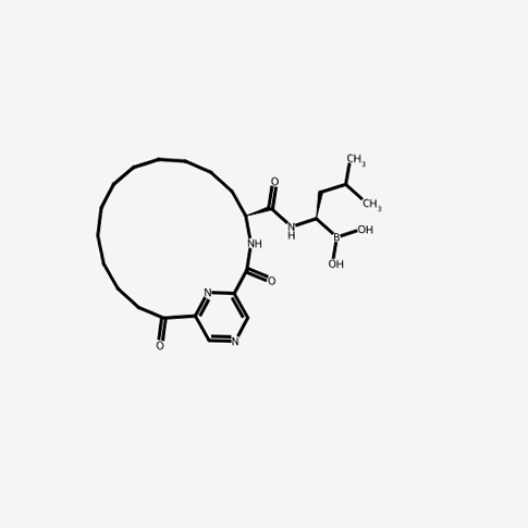 CC(C)C[C@H](NC(=O)[C@@H]1CCCCCCCCCCCC(=O)c2cncc(n2)C(=O)N1)B(O)O